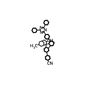 CC1CC2CC(C)C3(c4ccc(-c5ccc(C#N)cc5)cc4-c4cccc(-c5ccc(-c6nc(-c7ccccc7)nc(-c7ccccc7)n6)cc5)c43)C(C1)C2